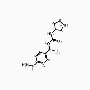 NNc1ccc([C@@H](OC(=O)NC2CCNC2)C(F)(F)F)cn1